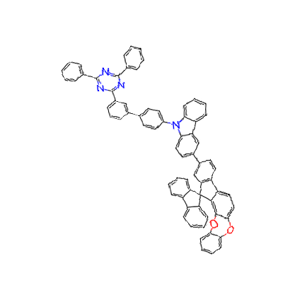 c1ccc(-c2nc(-c3ccccc3)nc(-c3cccc(-c4ccc(-n5c6ccccc6c6cc(-c7ccc8c(c7)C7(c9ccccc9-c9ccccc97)c7c-8ccc8c7Oc7ccccc7O8)ccc65)cc4)c3)n2)cc1